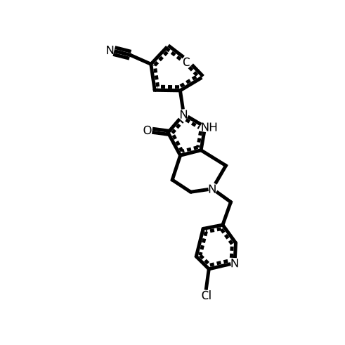 N#Cc1cccc(-n2[nH]c3c(c2=O)CCN(Cc2ccc(Cl)nc2)C3)c1